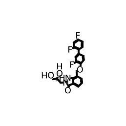 O=c1c2cccc(COc3ccc(-c4ccc(F)cc4F)cc3F)c2[nH]n1C[C@H](O)CO